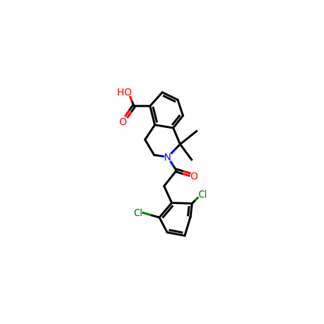 CC1(C)c2cccc(C(=O)O)c2CCN1C(=O)Cc1c(Cl)cccc1Cl